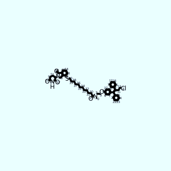 CN(CCOc1ccc(C(=C(CCCl)c2ccccc2)c2ccccc2)cc1)C(=O)CCCCCCCCCCCSc1cccc2c1CN(C1CCC(=O)NC1=O)C2=O